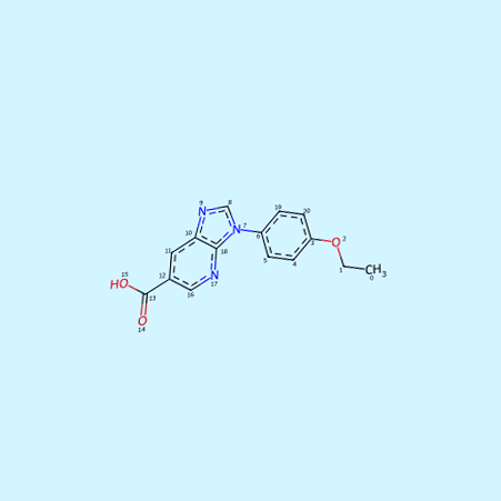 CCOc1ccc(-n2cnc3cc(C(=O)O)cnc32)cc1